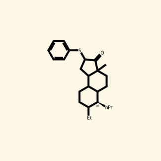 CCC[C@H]1C(CC)CCC2C1CCC1(C)C(=O)C(Sc3ccccc3)CC21